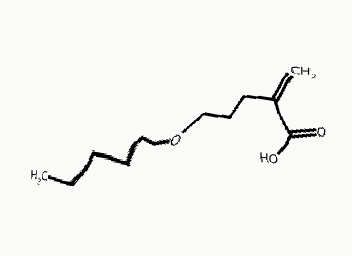 C=C(CCCOCCCCC)C(=O)O